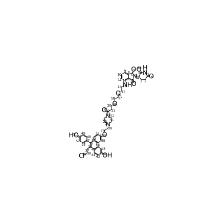 O=C1CCC(N2C(=O)c3cccc(NCCOCCOCCC(=O)N4CCN(CCOc5ccc(C(=C(CCCl)c6ccc(O)cc6)c6ccc(O)cc6)cc5)CC4)c3C2=O)C(=O)N1